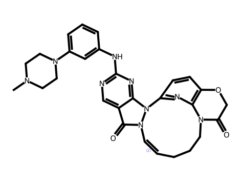 CN1CCN(c2cccc(Nc3ncc4c(=O)n5n(c4n3)-c3ccc4c(n3)N(CCC/C=C\5)C(=O)CO4)c2)CC1